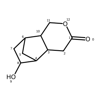 O=C1CC2C3CC(CC3O)C2CO1